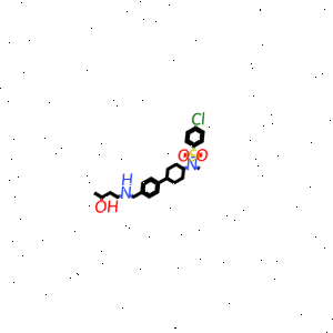 CC(O)CCNCc1ccc(C2CCC(N(C)S(=O)(=O)c3ccc(Cl)cc3)CC2)cc1